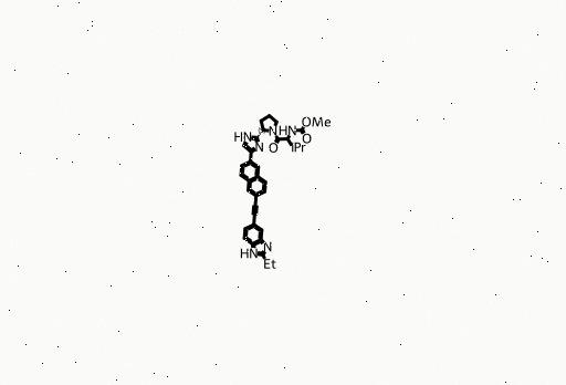 CCc1nc2cc(C#Cc3ccc4cc(-c5c[nH]c([C@@H]6CCCN6C(=O)C(NC(=O)OC)C(C)C)n5)ccc4c3)ccc2[nH]1